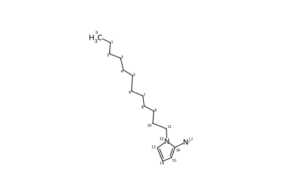 CCCCCCCCCCCCn1cccc1[N]